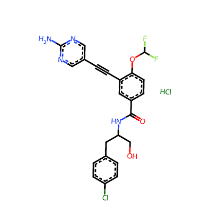 Cl.Nc1ncc(C#Cc2cc(C(=O)NC(CO)Cc3ccc(Cl)cc3)ccc2OC(F)F)cn1